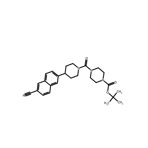 CC(C)(C)OC(=O)N1CCN(C(=O)N2CCC(c3ccc4cc(C#N)ccc4c3)CC2)CC1